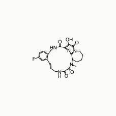 CN1C(=O)C(=O)NC/C=C/c2cc(F)ccc2CNC(=O)c2nc3n(c(=O)c2O)CCCCC31